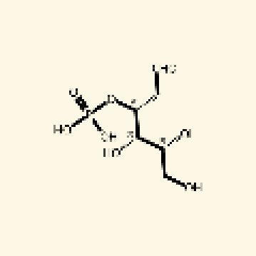 O=CC[C@@H](OP(=O)(O)O)[C@@H](O)[C@H](O)CO